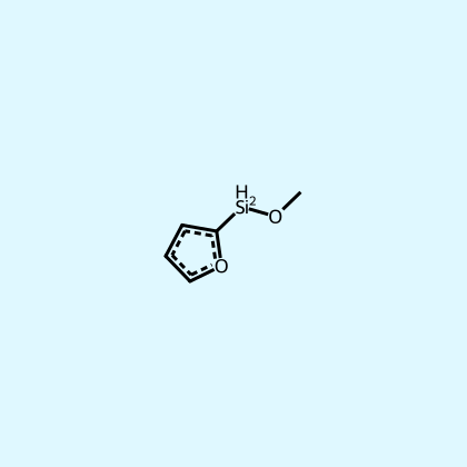 CO[SiH2]c1ccco1